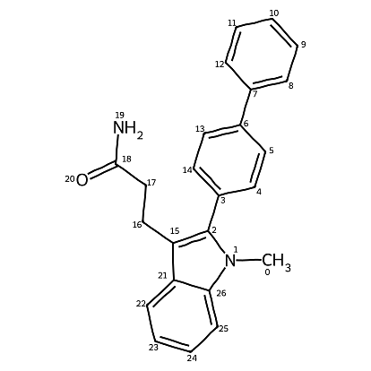 Cn1c(-c2ccc(-c3ccccc3)cc2)c(CCC(N)=O)c2ccccc21